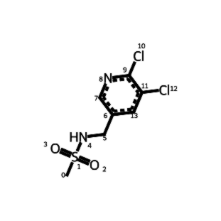 CS(=O)(=O)NCc1cnc(Cl)c(Cl)c1